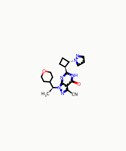 C[C@@H](C1CCOCC1)n1nc(C#N)c2c(=O)[nH]c([C@H]3CC[C@@H]3n3cccn3)nc21